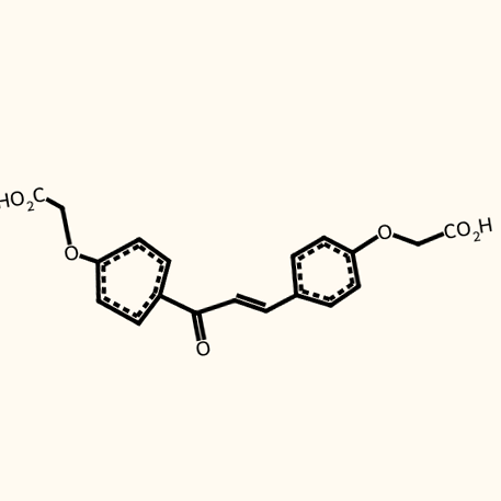 O=C(O)COc1ccc(C=CC(=O)c2ccc(OCC(=O)O)cc2)cc1